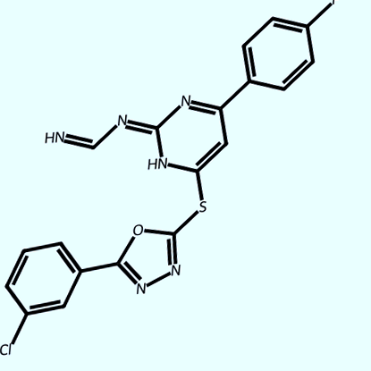 N=C/N=c1/nc(-c2ccc(F)cc2)cc(Sc2nnc(-c3cccc(Cl)c3)o2)[nH]1